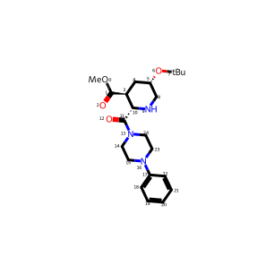 COC(=O)[C@H]1C[C@H](OC(C)(C)C)CN[C@@H]1C(=O)N1CCN(c2ccccc2)CC1